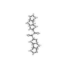 O=C(C(=O)c1cc2sc3ccsc3c2s1)c1cc2sc3ccsc3c2s1